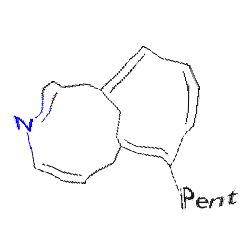 CCCC(C)c1cccc2cnccc12